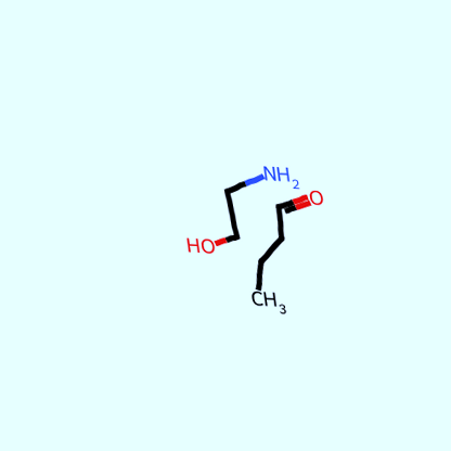 CCCC=O.NCCO